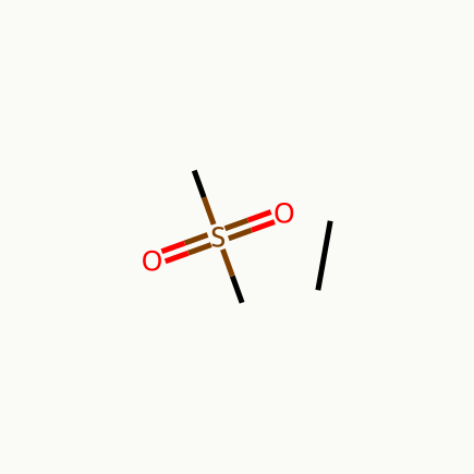 CC.CS(C)(=O)=O